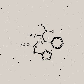 C[C@H](Nc1cccs1)C(=O)O.O=C(O)[C@H](Cc1ccccc1)N(Cl)Cl